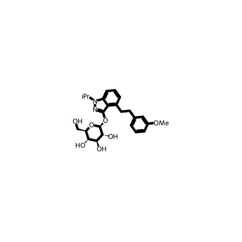 COc1cccc(CCc2cccc3c2c(O[C@@H]2O[C@H](CO)[C@@H](O)[C@H](O)[C@H]2O)nn3C(C)C)c1